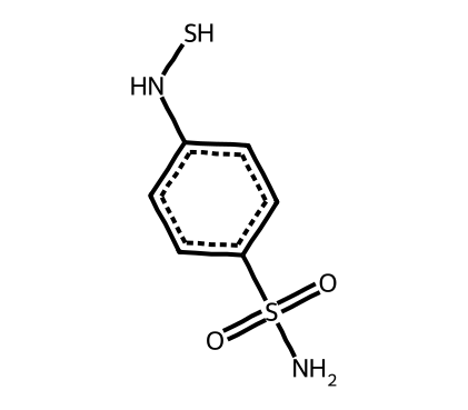 NS(=O)(=O)c1ccc(NS)cc1